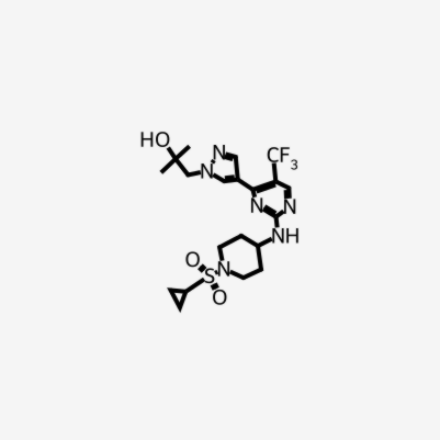 CC(C)(O)Cn1cc(-c2nc(NC3CCN(S(=O)(=O)C4CC4)CC3)ncc2C(F)(F)F)cn1